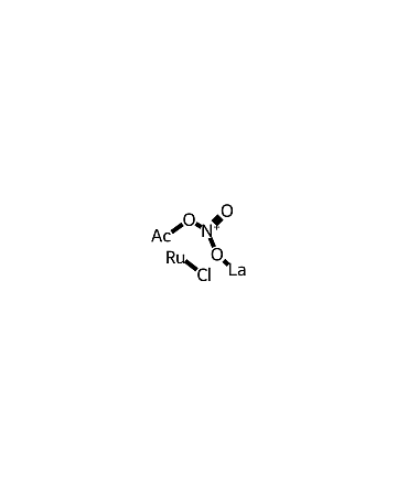 CC(=O)O[N+](=O)[O][La].[Cl][Ru]